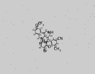 Cc1cc(C#N)cc(C)c1Oc1nc(N(Cc2ccc(OC(F)(F)F)cc2)C2CCNCC2)ncc1Br